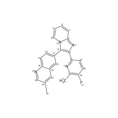 Cc1nc(-c2nc3ccccn3c2-c2ccc3ncc(I)cc3c2)ccc1F